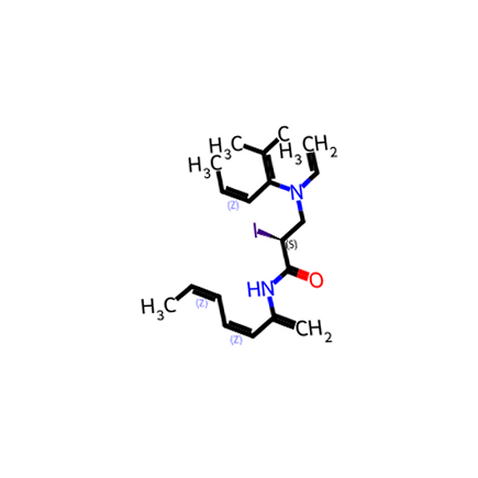 C=CN(C[C@H](I)C(=O)NC(=C)/C=C\C=C/C)C(/C=C\C)=C(C)C